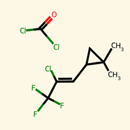 CC1(C)CC1C=C(Cl)C(F)(F)F.O=C(Cl)Cl